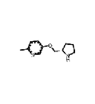 Cc1ccc(OC[C@@H]2CCCN2)cn1